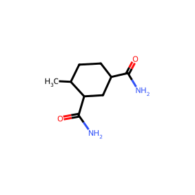 CC1CCC(C(N)=O)CC1C(N)=O